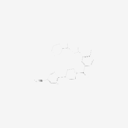 Cc1ccc(C(=O)N2CCC(c3ccc(C#N)cn3)CC2)cc1NCNC1CCCOC1